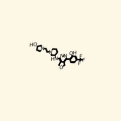 Oc1cc(C(F)(F)F)ccc1-c1nnc(N[C@@H]2CCCN(CCN3CC[C@@H](O)C3)C2)c2c1COC2